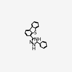 c1ccc(C2NN=C(c3cccc4c3sc3ccccc34)N2)cc1